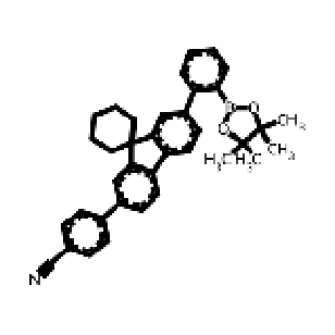 CC1(C)OB(c2ccccc2-c2ccc3c(c2)C2(CCCCC2)c2cc(-c4ccc(C#N)cc4)ccc2-3)OC1(C)C